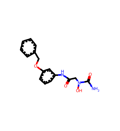 NC(=O)N(O)CC(=O)Nc1cccc(OCc2ccccc2)c1